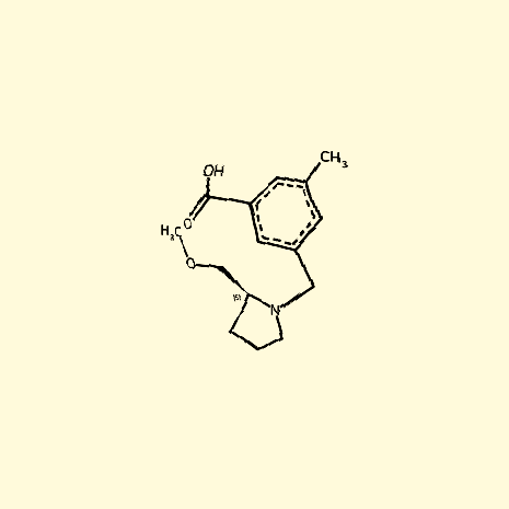 COC[C@@H]1CCCN1Cc1cc(C)cc(C(=O)O)c1